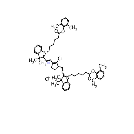 Cc1cccc(C)c1OC(=O)CCCCCN1C(=C=CC2CCC(/C=C/C3=[N+](CCCCCC(=O)Oc4c(C)cccc4C)c4ccccc4C3(C)C)=C2Cl)C(C)(C)c2ccccc21.[Cl-]